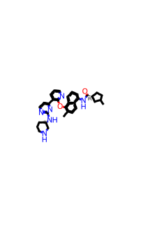 Cc1ccc2c(NC(=O)[C@@H]3CCC(C)C3)cccc2c1Oc1ncccc1-c1ccnc(N[C@H]2CCCNC2)n1